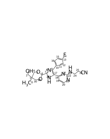 CC1(CO)COC(c2nc(-c3ccc(F)cc3)c(-c3ccnc(NCCC#N)n3)[nH]2)OC1